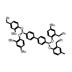 Cc1ccc(OP(Oc2ccc(C(C)(C)C)cc2CC(C)C)c2ccc(-c3ccc(P(Oc4ccc(CC(C)C)cc4C(C)(C)C)Oc4ccc(C(C)(C)C)cc4C(C)(C)C)cc3)cc2)c(CC(C)C)c1